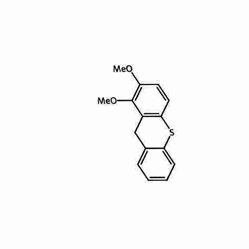 COc1ccc2c(c1OC)Cc1ccccc1S2